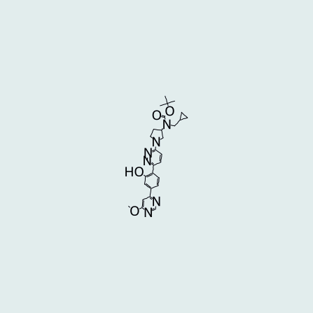 COc1cc(-c2ccc(-c3ccc(N4CC[C@@H](N(CC5CC5)C(=O)OC(C)(C)C)C4)nn3)c(O)c2)ncn1